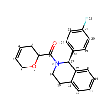 O=C(C1CC=CCO1)N1CCc2ccccc2[C@@H]1c1ccc(F)cc1